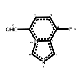 O=Cc1ccc(F)c2cncn12